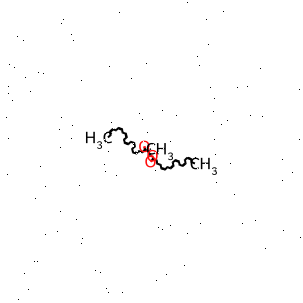 CC/C=C\C/C=C\C/C=C\C/C=C\C/C=C\C/C=C\CCC(=O)[C@@H](C)COC(=O)CCC/C=C\C/C=C\C/C=C\C/C=C\C/C=C\CC